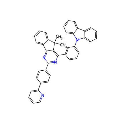 CC1(C)c2ccccc2-c2nc(-c3ccc(-c4ccccn4)cc3)nc(-c3cccc(-n4c5ccccc5c5ccccc54)c3)c21